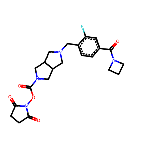 O=C(ON1C(=O)CCC1=O)N1CC2CN(Cc3ccc(C(=O)N4CCC4)cc3F)CC2C1